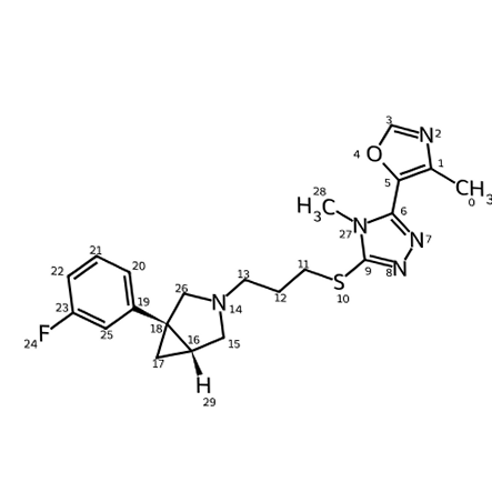 Cc1ncoc1-c1nnc(SCCCN2C[C@@H]3C[C@]3(c3cccc(F)c3)C2)n1C